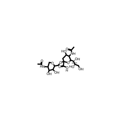 CC(=O)NC1COC(COC2(C(=O)O)CC(O)C(NC(C)=O)C([C@H](O)[C@H](O)CO)O2)C(O)C1O